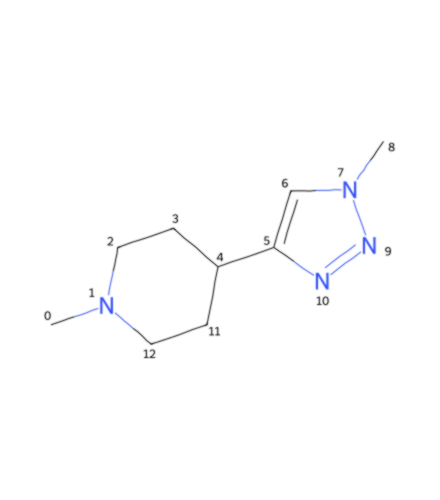 CN1CCC(c2cn(C)nn2)CC1